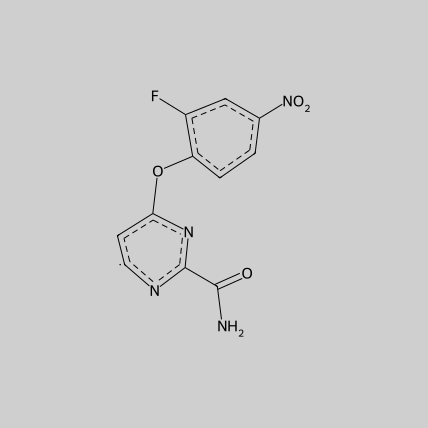 NC(=O)c1n[c]cc(Oc2ccc([N+](=O)[O-])cc2F)n1